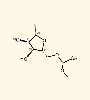 COP(O)OC[C@H]1O[C@@H](C)[C@H](O)[C@@H]1O